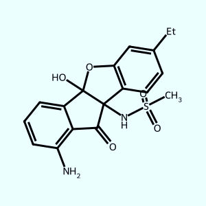 CCc1ccc2c(c1)OC1(O)c3cccc(N)c3C(=O)C21NS(C)(=O)=O